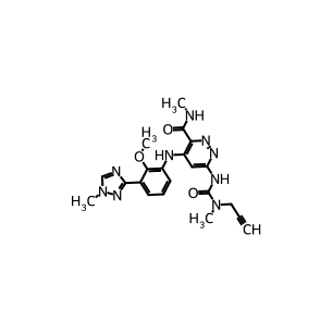 C#CCN(C)C(=O)Nc1cc(Nc2cccc(-c3ncn(C)n3)c2OC)c(C(=O)NC)nn1